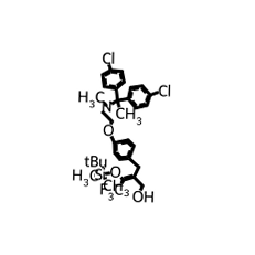 CN(CCOc1ccc(CC(CO)=C(O[Si](C)(C)C(C)(C)C)C(F)(F)F)cc1)C(C)(c1ccc(Cl)cc1)c1ccc(Cl)cc1